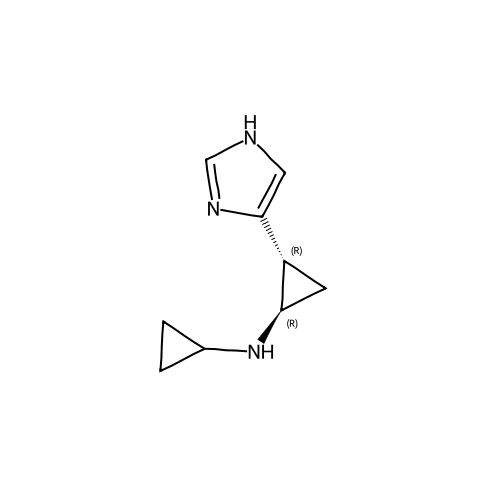 c1nc([C@@H]2C[C@H]2NC2CC2)c[nH]1